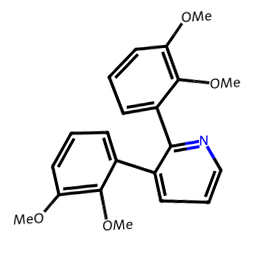 COc1cccc(-c2cccnc2-c2cccc(OC)c2OC)c1OC